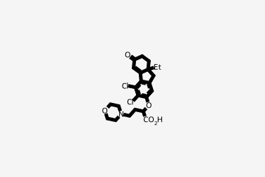 CCC12CCC(=O)C=C1c1c(cc(OC(CCN3CCOCC3)C(=O)O)c(Cl)c1Cl)C2